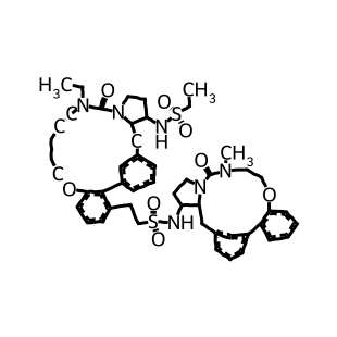 CCN1CCCCCOc2cccc(CCS(=O)(=O)NC3CCN4C(=O)N(C)CCOc5ccccc5-c5cccc(c5)CC34)c2-c2cccc(c2)CC2C(NS(=O)(=O)CC)CCN2C1=O